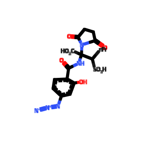 CCCC(C(NC(=O)c1ccc(N=[N+]=[N-])cc1O)(C(=O)O)N1C(=O)CCC1=O)S(=O)(=O)O